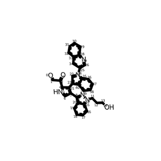 O=CC(=O)c1[nH]cc(-c2nn(CCCO)c3ccccc23)c1-c1cn(-c2cnc3ccccc3c2)c2ccccc12